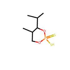 CC(C)C1OP(=S)(S)OCC1C